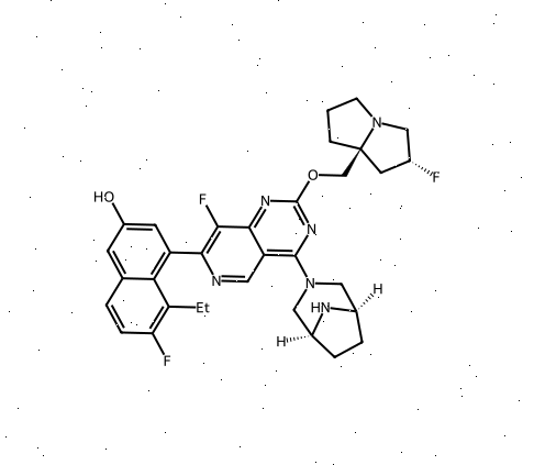 CCc1c(F)ccc2cc(O)cc(-c3ncc4c(N5C[C@H]6CC[C@@H](C5)N6)nc(OC[C@@]56CCCN5C[C@H](F)C6)nc4c3F)c12